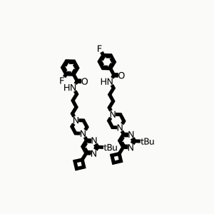 CC(C)(C)c1nc(C2CCC2)cc(N2CCN(CCCCNC(=O)c3ccc(F)cc3)CC2)n1.CC(C)(C)c1nc(C2CCC2)cc(N2CCN(CCCCNC(=O)c3ccccc3F)CC2)n1